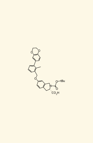 Cc1c(COc2ccc3c(c2)CN(C(=O)OC(C)(C)C)[C@H](C(=O)O)C3)cccc1-c1ccc2c(c1)OCCO2